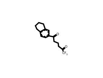 O=C(CCCC(=O)C(F)(F)F)c1ccc2c(c1)CCCC2